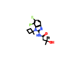 CCC(C)(O)CC(=O)Nc1nc2ccc(F)c(F)c2n1C1(C)CCC1